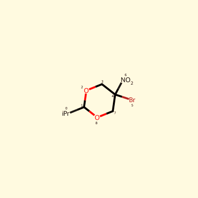 CC(C)C1OCC(Br)([N+](=O)[O-])CO1